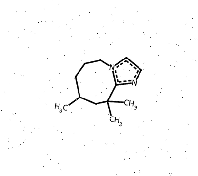 CC1CCCn2ccnc2C(C)(C)C1